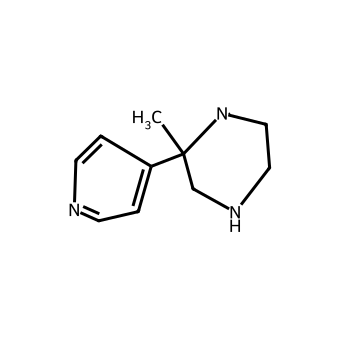 CC1(c2ccncc2)CNCC[N]1